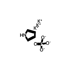 O=P([O-])([O-])[O-].[K+].[K+].[K+].c1cc[nH]c1